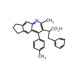 Cc1ccc(-c2c(C(Cc3ccccc3)C(=O)O)c(C)nc3cc4c(cc23)CCC4)cc1